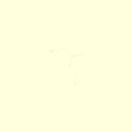 CCCOC(C)COC(C)(C)C